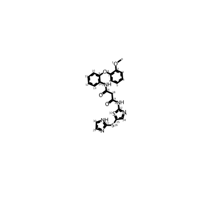 COc1ccccc1Oc1ccccc1NC(=O)CC(=O)Nc1ncc(Sc2ncc[nH]2)s1